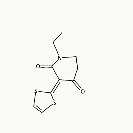 CCN1CCC(=O)C(=C2SC=CS2)C1=O